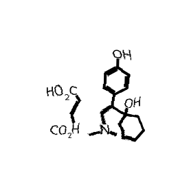 CN(C)CC(c1ccc(O)cc1)C1(O)CCCCC1.O=C(O)C=CC(=O)O